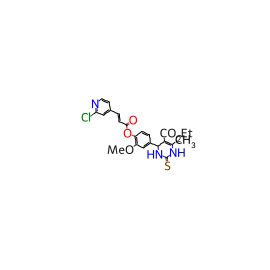 CCOC(=O)C1=C(C)NC(=S)NC1c1ccc(OC(=O)/C=C/c2ccnc(Cl)c2)c(OC)c1